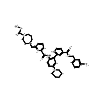 CC(C)(C)OC(=O)N1CCCN(Cc2cccc(C(=O)Nc3ccc(N4CCCCC4)cc3-c3cc(C(=O)NCc4cccc(C(F)(F)F)c4)ccn3)n2)CC1